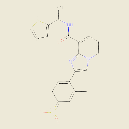 CC1=CC(=S(=O)=O)CC=C1c1cn2cccc(C(=O)NC(C#N)c3cccs3)c2n1